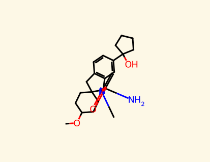 COC1CCC2(CC1)Cc1ccc(C3(O)CCCC3)cc1C21N=C(N)N(C)C1=O